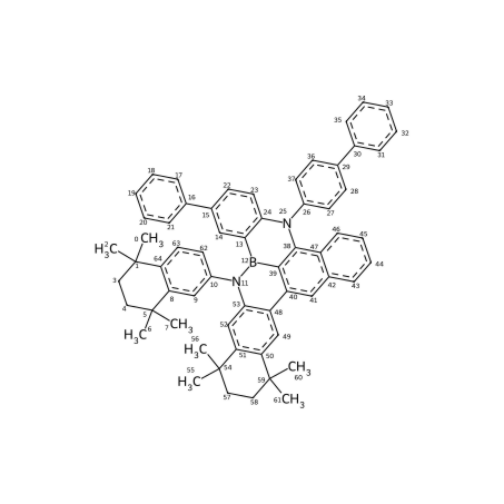 CC1(C)CCC(C)(C)c2cc(N3B4c5cc(-c6ccccc6)ccc5N(c5ccc(-c6ccccc6)cc5)c5c4c(cc4ccccc54)-c4cc5c(cc43)C(C)(C)CCC5(C)C)ccc21